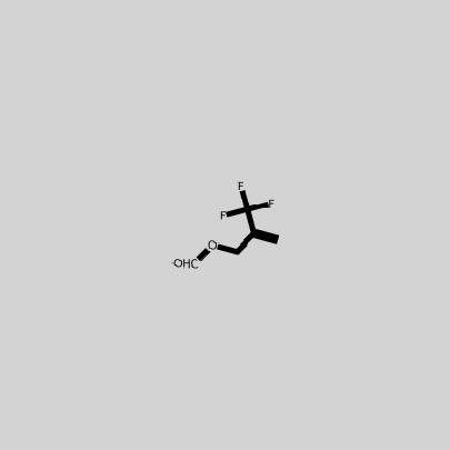 C=C(CO[C]=O)C(F)(F)F